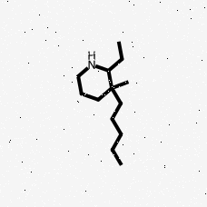 CCCCCC1(C)CCCNC1CC